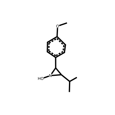 COc1ccc(C2C(C(C)C)N2O)cc1